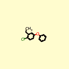 CCc1cc(Oc2ccccc2)ccc1Cl